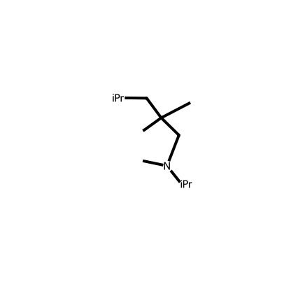 CC(C)CC(C)(C)CN(C)C(C)C